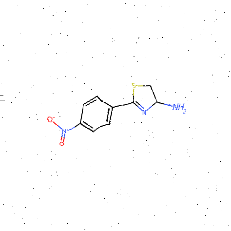 NC1CSC(c2ccc([N+](=O)[O-])cc2)=N1